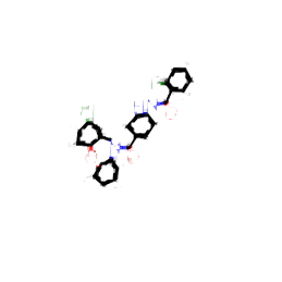 O=C(Nc1ccc(C(=O)N2Cc3cc(Cl)ccc3Oc3ccccc32)cc1)c1ccccc1F